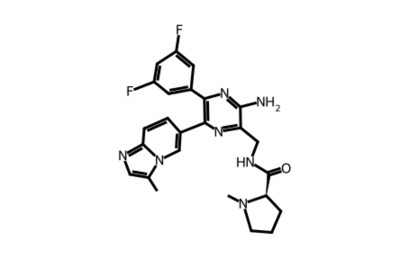 Cc1cnc2ccc(-c3nc(CNC(=O)[C@H]4CCCN4C)c(N)nc3-c3cc(F)cc(F)c3)cn12